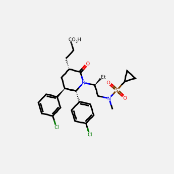 CC[C@@H](CN(C)S(=O)(=O)C1CC1)N1C(=O)[C@@H](CCC(=O)O)C[C@H](c2cccc(Cl)c2)[C@H]1c1ccc(Cl)cc1